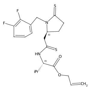 C=CCOC(=O)[C@@H](NC(=S)C[C@@H]1CCC(=S)N1Cc1cccc(F)c1F)C(C)C